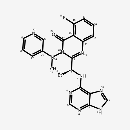 CC[C@H](Nc1ncnc2[nH]cnc12)c1nc2cccc(F)c2c(=O)n1N(C)c1cccnc1